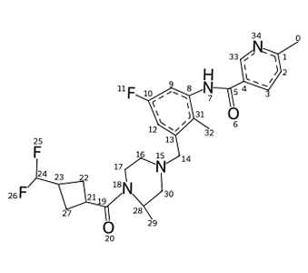 Cc1ccc(C(=O)Nc2cc(F)cc(CN3CCN(C(=O)C4CC(C(F)F)C4)C(C)C3)c2C)cn1